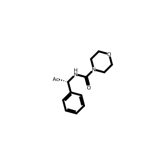 CC(=O)[C@H](NC(=O)N1CCOCC1)c1ccccc1